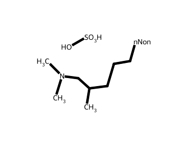 CCCCCCCCCCCCC(C)CN(C)C.O=S(=O)(O)O